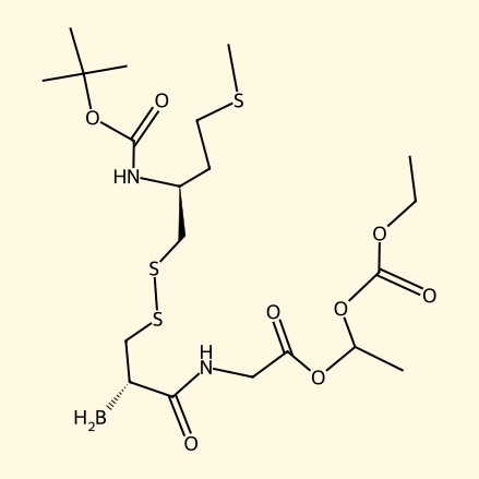 B[C@H](CSSC[C@H](CCSC)NC(=O)OC(C)(C)C)C(=O)NCC(=O)OC(C)OC(=O)OCC